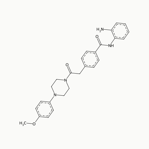 COc1ccc(N2CCN(C(=O)Cc3ccc(C(=O)Nc4ccccc4N)cc3)CC2)cc1